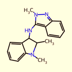 CC1C(Nc2c3ccccc3nn2C)c2ccccc2N1C